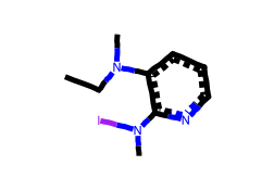 CCN(C)c1cccnc1N(C)I